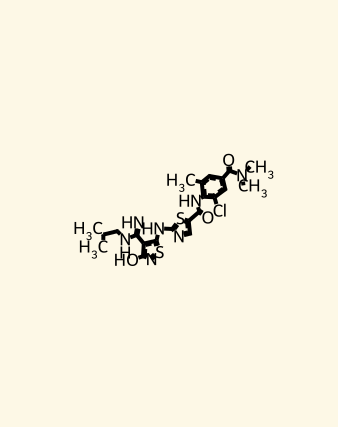 Cc1cc(C(=O)N(C)C)cc(Cl)c1NC(=O)c1cnc(Nc2snc(O)c2C(=N)NCC(C)C)s1